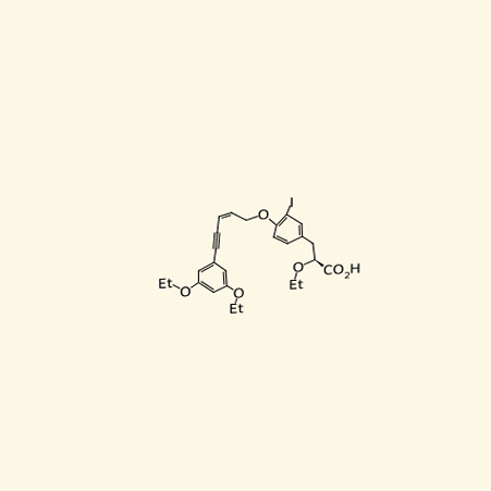 CCOc1cc(C#C/C=C\COc2ccc(C[C@H](OCC)C(=O)O)cc2I)cc(OCC)c1